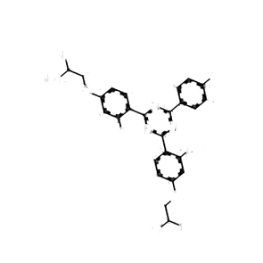 CCCCC(CC)COc1ccc(-c2nc(-c3ccc(S)cc3)nc(-c3ccc(OCC(CC)CCCC)cc3O)n2)c(O)c1